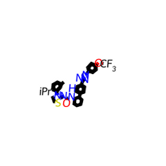 Cc1ccc(C(C)C)c(N2CCS/C2=N\C(=O)NC2CCCCC2c2ccc(-c3ncn(-c4ccc(OC(F)(F)F)cc4)n3)cc2)c1